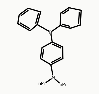 CCCN(CCC)c1ccc(B(c2ccccc2)c2ccccc2)cc1